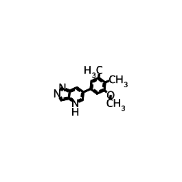 COc1cc(-c2c[nH]c3cnnc-3c2)cc(C)c1C